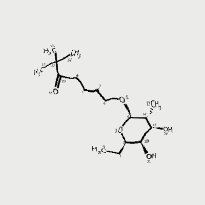 CC[C@H]1O[C@@H](OCCCCC(=O)C(C)(C)C)[C@H](C)[C@@H](O)[C@H]1O